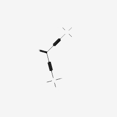 CS(C)(C)C#CC(=O)C#CS(C)(C)C